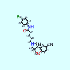 N#Cc1ccc2c(c1)[C@@H]1CN(CCCCC(=O)Nc3ccc(Br)cc3)C[C@H]1CO2